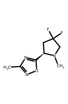 Cc1noc([C@H]2CC(F)(F)CN2C)n1